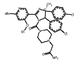 CCOc1cc(C(C)(C)C)ncc1C1=N[C@@](C)(c2ccc(Cl)cc2)C(c2ccc(Cl)cc2)N1C(=O)N1CCN(CC(N)=O)CC1